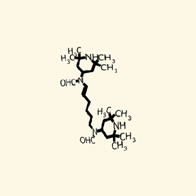 CC1(C)CC(N(C=O)C=CCCCCN(C=O)C2CC(C)(C)NC(C)(C)C2)CC(C)(C)N1